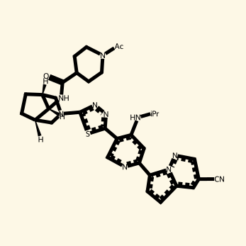 CC(=O)N1CCC(C(=O)N[C@H]2[C@@H]3CC[C@H]2CN(c2nnc(-c4cnc(-c5ccc6cc(C#N)cnn56)cc4NC(C)C)s2)C3)CC1